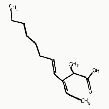 CC=C(C=CCCCCCC)C(C)C(=O)O